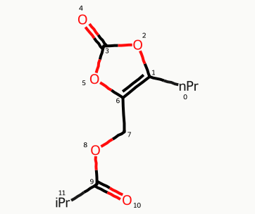 CCCc1oc(=O)oc1COC(=O)C(C)C